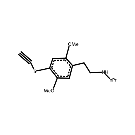 C#CSc1cc(OC)c(CCNCCC)cc1OC